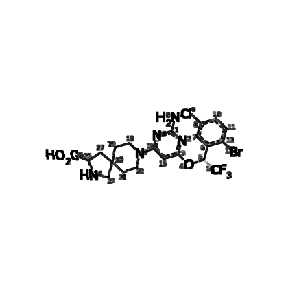 Nc1nc(O[C@H](c2cc(Cl)ccc2Br)C(F)(F)F)cc(N2CCC3(CC2)CNC(C(=O)O)C3)n1